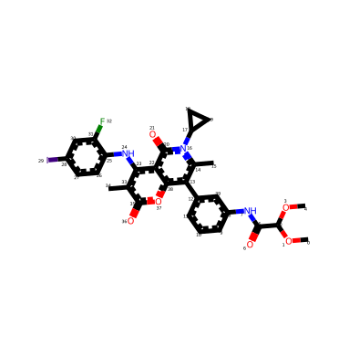 COC(OC)C(=O)Nc1cccc(-c2c(C)n(C3CC3)c(=O)c3c(Nc4ccc(I)cc4F)c(C)c(=O)oc23)c1